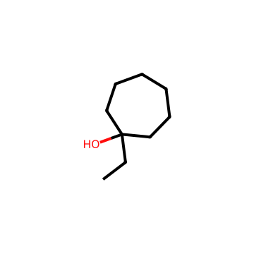 CCC1(O)CCCCCC1